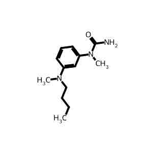 CCCCN(C)c1cccc(N(C)C(N)=O)c1